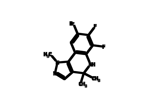 Cn1ncc2c1-c1cc(Br)c(F)c(F)c1NC2(C)C